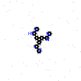 C1=C(c2ccc3c(c2)c2ccc(-c4cncc(-c5ccccn5)c4)cc2c2ccc(-c4cncc(-c5ccccn5)c4)cc32)CNC=C1c1ccccn1